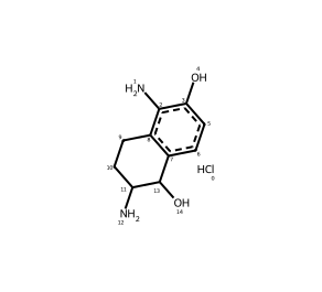 Cl.Nc1c(O)ccc2c1CCC(N)C2O